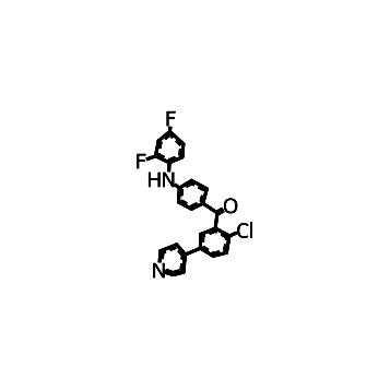 O=C(c1ccc(Nc2ccc(F)cc2F)cc1)c1cc(-c2ccncc2)ccc1Cl